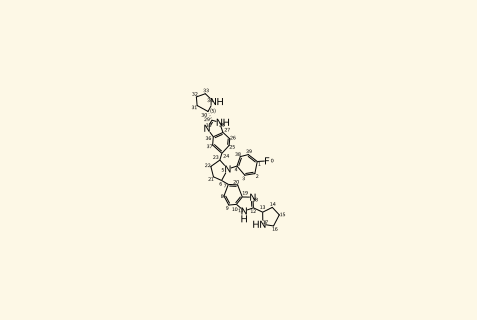 Fc1ccc(N2C(c3ccc4[nH]c(C5CCCN5)nc4c3)CCC2c2ccc3[nH]c([C@@H]4CCCN4)nc3c2)cc1